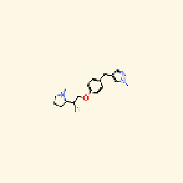 CN1CCCC1C(Cl)COc1ccc(Cc2cnn(C)c2)cc1